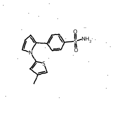 Cc1csc(-n2cccc2-c2ccc(S(N)(=O)=O)cc2)c1